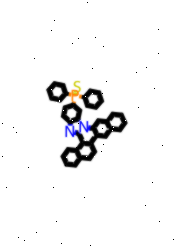 S=P(c1ccccc1)(c1ccccc1)c1ccc2nc3c4c5ccccc5ccc4c4cc5ccccc5cc4n3c2c1